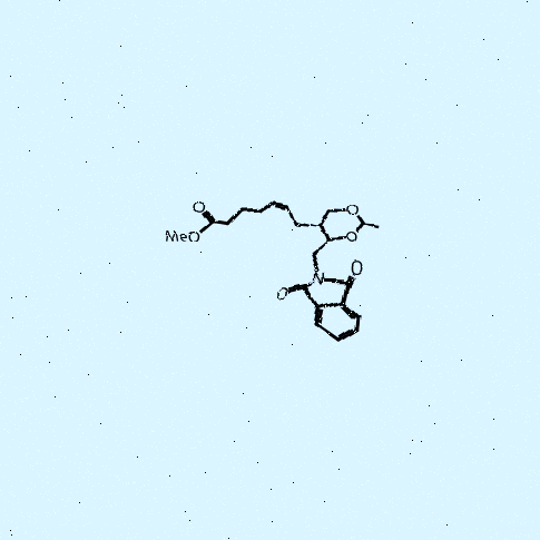 COC(=O)CCC/C=C\C[C@H]1CO[C@@H](C)O[C@H]1CN1C(=O)c2ccccc2C1=O